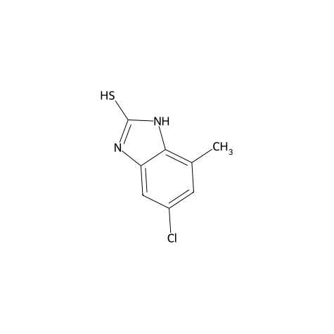 Cc1cc(Cl)cc2nc(S)[nH]c12